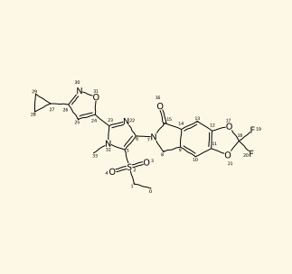 CCS(=O)(=O)c1c(N2Cc3cc4c(cc3C2=O)OC(F)(F)O4)nc(-c2cc(C3CC3)no2)n1C